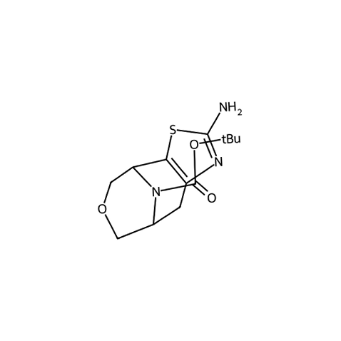 CC(C)(C)OC(=O)N1C2COCC1c1sc(N)nc1C2